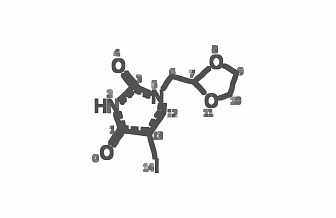 O=c1[nH]c(=O)n(CC2OCCO2)cc1I